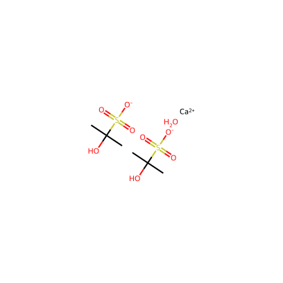 CC(C)(O)S(=O)(=O)[O-].CC(C)(O)S(=O)(=O)[O-].O.[Ca+2]